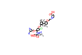 Cc1c(COc2cc(OCc3cncc(C#N)c3)c(CN[C@@](C)(CO)C(=O)O)cc2Cl)cccc1-c1cccc(OCCCN2CCC[C@@H](C(=O)O)C2)c1C